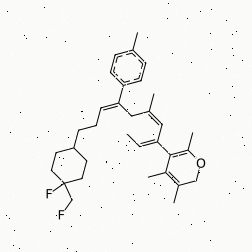 C/C=C(\C=C(\C)C/C(=C\CCC1CCC(F)(CF)CC1)c1ccc(C)cc1)C1=C(C)OCC(C)=C1C